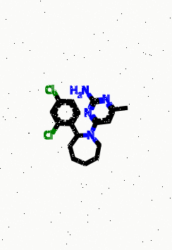 Cc1cc(N2CCCCCC2c2ccc(Cl)cc2Cl)nc(N)n1